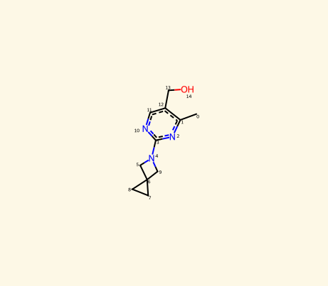 Cc1nc(N2CC3(CC3)C2)ncc1CO